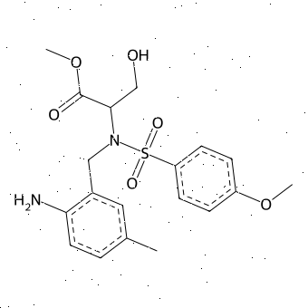 COC(=O)C(CO)N(Cc1cc(C)ccc1N)S(=O)(=O)c1ccc(OC)cc1